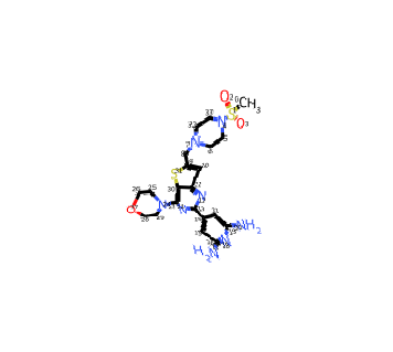 CS(=O)(=O)N1CCN(Cc2cc3nc(-c4cc(N)nc(N)c4)nc(N4CCOCC4)c3s2)CC1